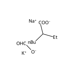 CCCCC(CC)C(=O)[O-].O=C[O-].[K+].[Na+]